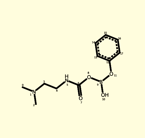 CN(C)CCNC(=O)OB(O)Oc1ccccc1